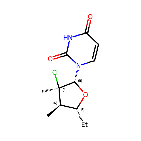 CC[C@H]1O[C@@H](n2ccc(=O)[nH]c2=O)[C@](C)(Cl)[C@@H]1C